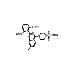 CCCCS(=O)(=O)N1CCN(c2nc(-c3c(OC)cccc3OC)nc3cc(C)ccc23)CC1